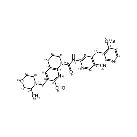 COc1ccncc1Nc1cc(NC(=O)N2CCCc3cc(CN4CCOCC4C)c(C=O)nc32)ncc1C#N